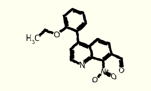 CCOc1ccccc1-c1ccnc2c([N+](=O)[O-])c(C=O)ccc12